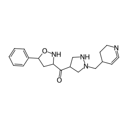 O=C(C1CNN(CC2C=C=NCC2)C1)C1CC(c2ccccc2)ON1